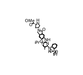 COC(=O)[C@@H]1C[C@@H](N2Cc3cc(OC(C)C)c(Nc4ncc(C)c(Nc5ccccc5S(=O)(=O)C(C)C)n4)cc3C2=O)CN1